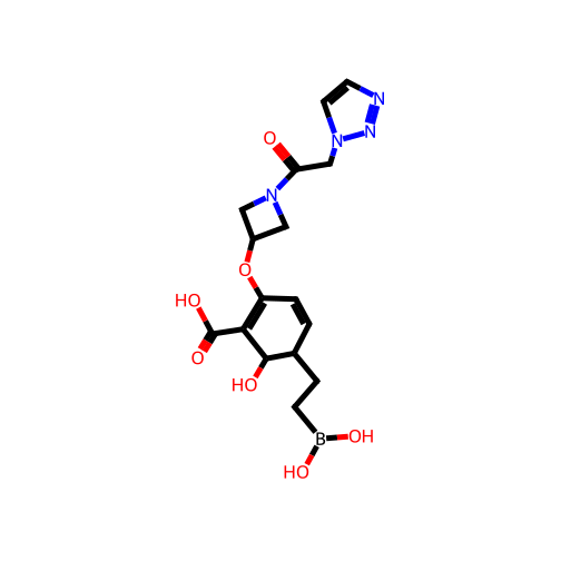 O=C(O)C1=C(OC2CN(C(=O)Cn3ccnn3)C2)C=CC(CCB(O)O)C1O